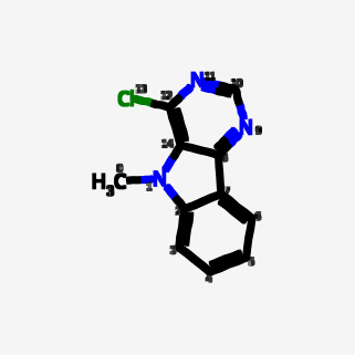 Cn1c2ccccc2c2ncnc(Cl)c21